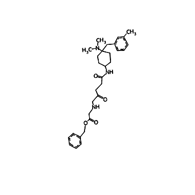 Cc1cccc(CC2(N(C)C)CCC(NC(=O)CCC(=O)CNCC(=O)OCc3ccccc3)CC2)c1